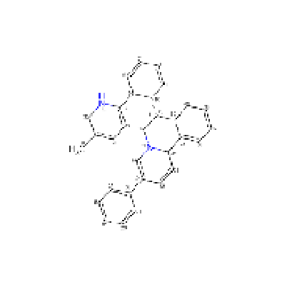 CC1=CC=C(C2C=CC=CC2[C@H]2CN3C=C(c4ccccc4)C=CC3C3=CC=CCC32)NC1